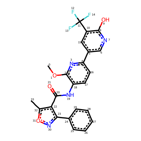 COc1nc(-c2cnc(O)c(C(F)(F)F)c2)ccc1NC(=O)c1c(-c2ccccc2)noc1C